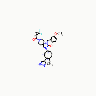 CC/C1=C(c2cn[nH]c2)/C=C\C(N2CC3(CCN(C(=O)[C@H]4CC4(F)F)CC3)N(Cc3cccc(OC)c3)C2=O)=C/CC1